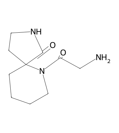 NCC(=O)N1CCCCC12CCNC2=O